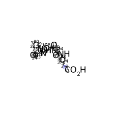 O=C(O)/C=C/c1ccc(NC(=O)C2(NC(=O)c3ccc4c(c3)nc(-c3ccoc3)n4C3CCCCC3)CC2)cc1